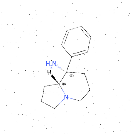 N[C@]1(c2ccccc2)CCCN2CCC[C@@H]21